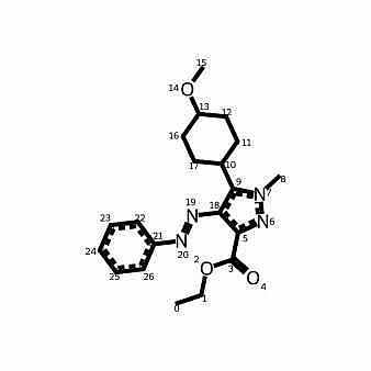 CCOC(=O)c1nn(C)c(C2CCC(OC)CC2)c1/N=N/c1ccccc1